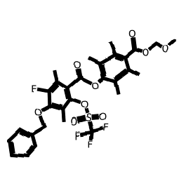 COCOC(=O)c1c(C)c(C)c(OC(=O)c2c(C)c(F)c(OCc3ccccc3)c(C)c2OS(=O)(=O)C(F)(F)F)c(C)c1C